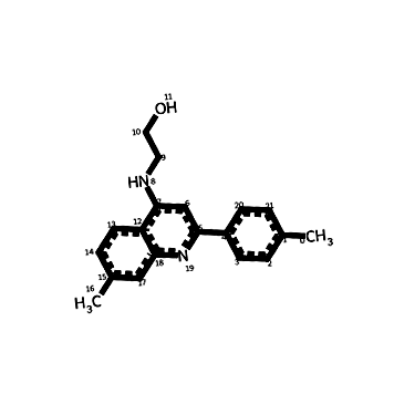 Cc1ccc(-c2cc(NCCO)c3ccc(C)cc3n2)cc1